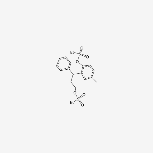 CCS(=O)(=O)OCCC(c1ccccc1)c1cc(C)ccc1OS(=O)(=O)CC